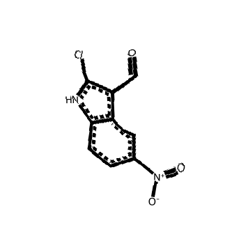 O=Cc1c(Cl)[nH]c2ccc([N+](=O)[O-])cc12